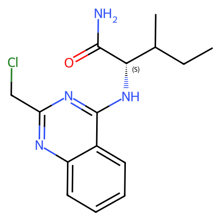 CCC(C)[C@H](Nc1nc(CCl)nc2ccccc12)C(N)=O